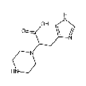 O=C(O)C(Cc1c[nH]cn1)N1CCNCC1